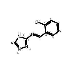 Clc1ccccc1/C=N/c1nnc[nH]1